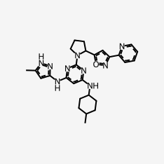 Cc1cc(Nc2cc(NC3CCC(C)CC3)nc(N3CCCC3c3cc(-c4ccccn4)no3)n2)n[nH]1